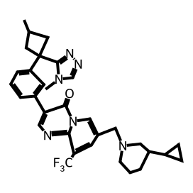 CC1CC(c2cccc(-c3cnc4c(C(F)(F)F)cc(CN5CCCC(C6CC6)C5)cn4c3=O)c2)(c2nncn2C)C1